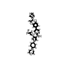 CC(Cn1cnnn1)Oc1cc(-c2cnc(Nc3cn([C@H]4CC[C@H](N5CCOCC5)CC4)nc3OCC(F)(F)F)nc2)ccc1Cl